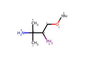 CC(C)(C)OCC(P)C(C)(C)N